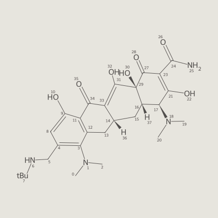 CN(C)c1c(CNC(C)(C)C)cc(O)c2c1C[C@H]1C[C@H]3[C@H](N(C)C)C(O)=C(C(N)=O)C(=O)[C@@]3(O)C(O)=C1C2=O